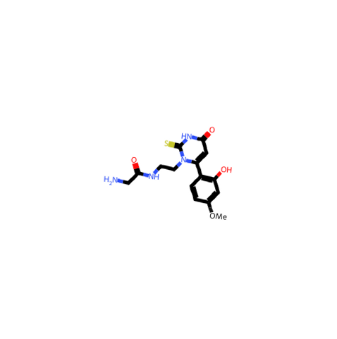 COc1ccc(-c2cc(=O)[nH]c(=S)n2CCNC(=O)CN)c(O)c1